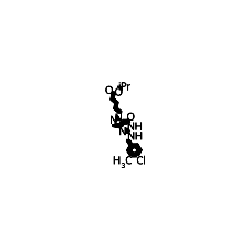 Cc1cc(CNc2nc3cnn(CCCCC(=O)OC(C)C)c3c(=O)[nH]2)ccc1Cl